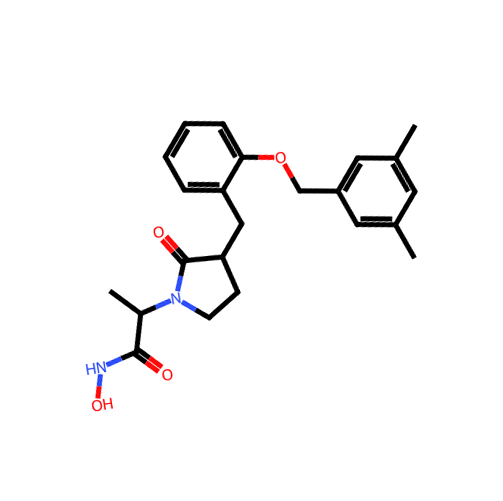 Cc1cc(C)cc(COc2ccccc2CC2CCN(C(C)C(=O)NO)C2=O)c1